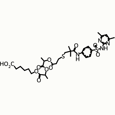 Cc1cc(C)nc(NS(=O)(=O)c2ccc(NC(=O)C(C)(C)CSCCC(=O)OC(C)C(=O)OC(C)C(=O)OCCCCCC(=O)O)cc2)n1